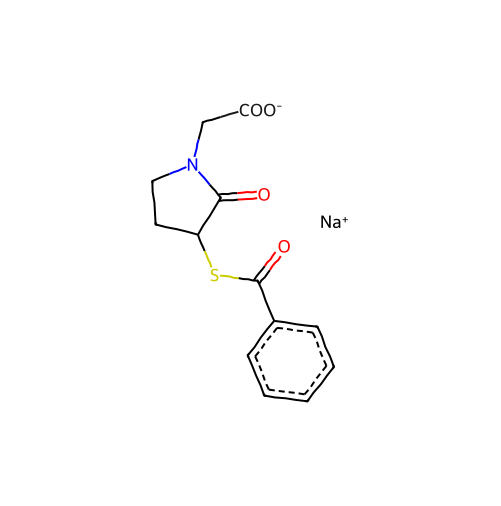 O=C([O-])CN1CCC(SC(=O)c2ccccc2)C1=O.[Na+]